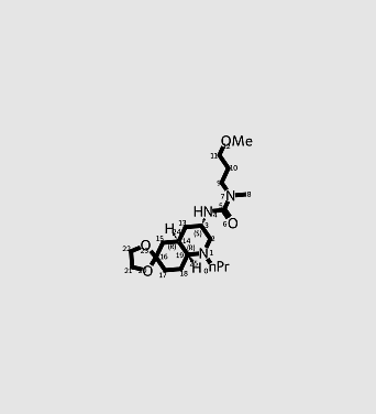 CCCN1C[C@@H](NC(=O)N(C)CCCOC)C[C@@H]2CC3(CC[C@H]21)OCCO3